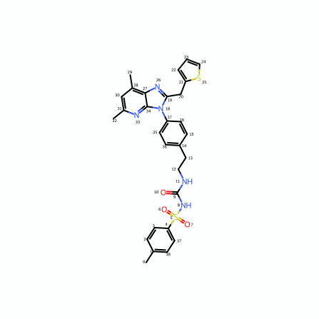 Cc1ccc(S(=O)(=O)NC(=O)NCCc2ccc(-n3c(Cc4cccs4)nc4c(C)cc(C)nc43)cc2)cc1